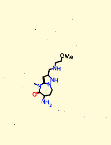 COCCNCC1C=C2N(CCC(N)C(=O)N2C)N1